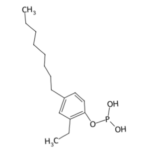 CCCCCCCCc1ccc(OP(O)O)c(CC)c1